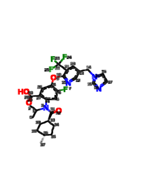 CC(C)N(c1cc(F)c(Oc2ncc(Cn3ccnc3)cc2C(F)(F)F)cc1C(=O)O)C(=O)[C@H]1CC[C@H](C)CC1